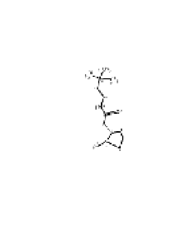 CC(C)N1CCC[C@H]1CC(=O)NCCC(C)(C(F)(F)F)C(F)(F)F